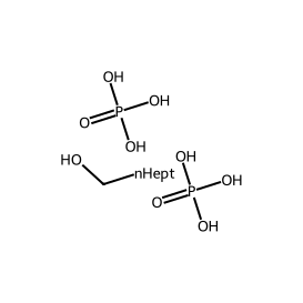 CCCCCCCCO.O=P(O)(O)O.O=P(O)(O)O